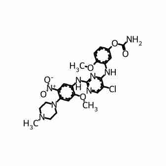 COc1cc(N2CCN(C)CC2)c([N+](=O)[O-])cc1Nc1ncc(Cl)c(Nc2cc(OC(N)=O)ccc2OC)n1